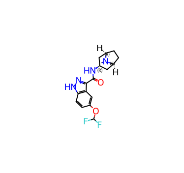 CN1[C@@H]2CC[C@H]1C[C@@H](NC(=O)c1n[nH]c3ccc(OC(F)F)cc13)C2